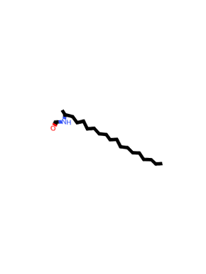 CCCCCCCCCCCCCCCCCC(C)NC=O